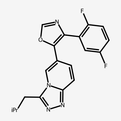 CC(C)Cc1nnc2ccc(-c3ocnc3-c3cc(F)ccc3F)cn12